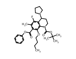 CCCCOc1c(C(=O)Oc2ccccc2)c(C)c(F)c2c1N(C(=O)OC(C)(C)C)CCC2N1CCCC1